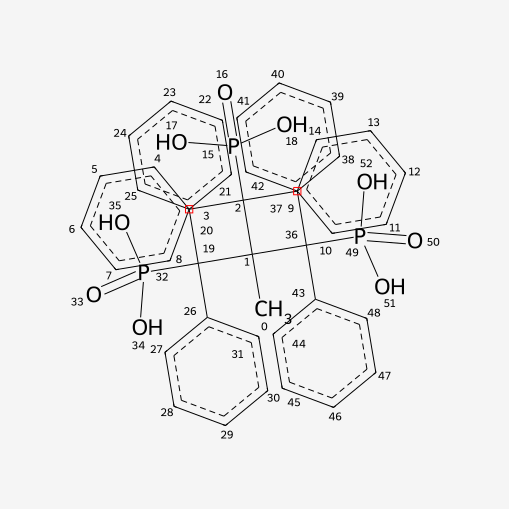 CC(C(c1ccccc1)(c1ccccc1)P(=O)(O)O)(C(c1ccccc1)(c1ccccc1)P(=O)(O)O)C(c1ccccc1)(c1ccccc1)P(=O)(O)O